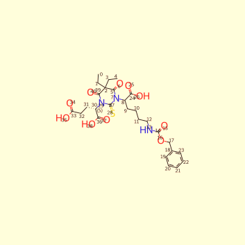 CCC1(CC)C(=O)N(C(CCCCNC(=O)OCc2ccccc2)C(=O)O)C(=S)N([C@@H](CCC(=O)O)C(=O)O)C1=O